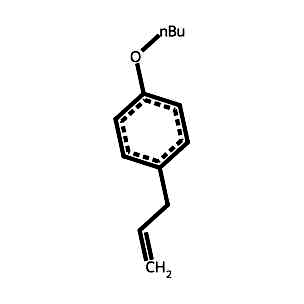 C=CCc1ccc(OCCCC)cc1